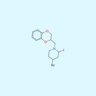 CC(=O)C1CCN(CC2COc3ccccc3O2)C(I)C1